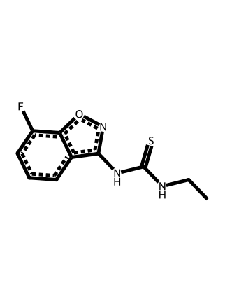 CCNC(=S)Nc1noc2c(F)cccc12